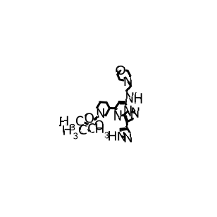 CC(C)(C)OC(=O)N1CCCC(c2cc(NCCN3CCOCC3)n3ncc(-c4cn[nH]c4)c3n2)C1